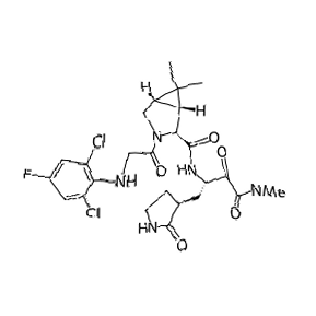 CNC(=O)C(=O)[C@H](C[C@@H]1CCNC1=O)NC(=O)[C@@H]1[C@@H]2[C@H](CN1C(=O)CNc1c(Cl)cc(F)cc1Cl)C2(C)C